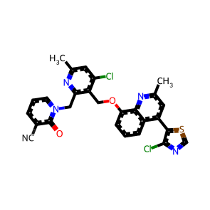 Cc1cc(Cl)c(COc2cccc3c(-c4scnc4Cl)cc(C)nc23)c(Cn2cccc(C#N)c2=O)n1